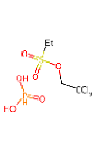 CCS(=O)(=O)OCC(Cl)(Cl)Cl.O=[PH](O)O